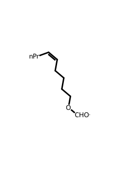 CCC/C=C\CCCCO[C]=O